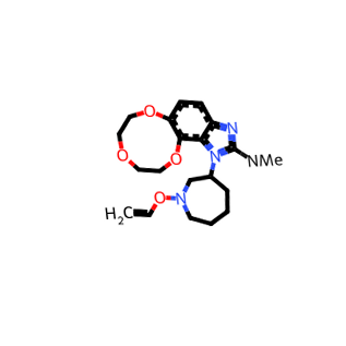 C=CON1CCCCC(n2c(NC)nc3ccc4c(c32)OCCOCCO4)C1